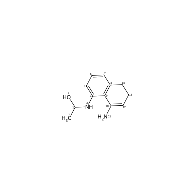 CC(O)Nc1cccc2c1C(N)=CCC2